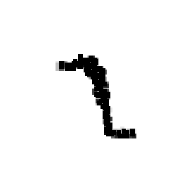 CCCCCCCC/C=C\CCCCCCCC(=O)OC(=O)OC1CC[C@@]2(C)C(=CCC3C2CC[C@@]2(C)C3CC[C@@H]2[C@H](C)CCCC(C)C)C1